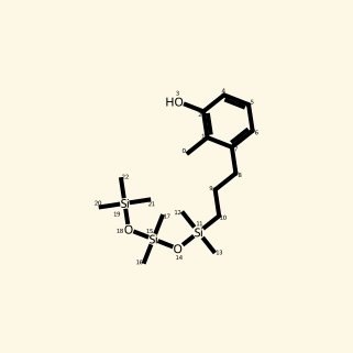 Cc1c(O)cccc1CCC[Si](C)(C)O[Si](C)(C)O[Si](C)(C)C